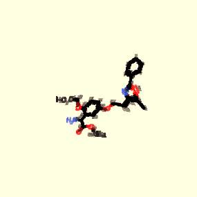 Cc1oc(-c2ccccc2)nc1CCOc1ccc(OCC(=O)O)c(C(N)C(=O)OC(C)(C)C)c1